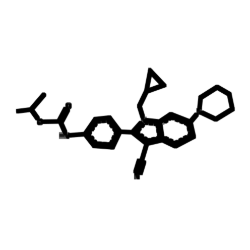 CC(C)OC(=O)Nc1ccc(-c2c(C#N)c3ccc(N4CCCCC4)cc3n2CC2CC2)cc1